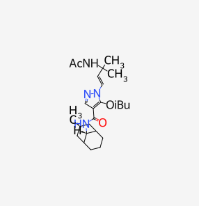 CC(=O)NC(C)(C)/C=C/n1ncc(C(=O)N[C@H]2C3CCCC2C[C@H](C)C3)c1OCC(C)C